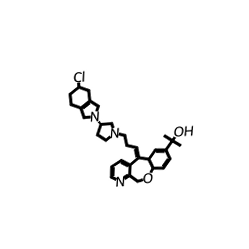 CC(C)(O)C1=CC2/C(=C/CCN3CC[C@@H](N4CC5=C(CC(Cl)CC5)C4)C3)c3cccnc3COC2C=C1